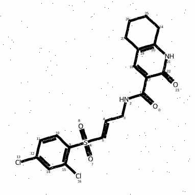 O=C(NC/C=C/S(=O)(=O)c1ccc(Cl)cc1Cl)c1cc2c([nH]c1=O)CCCC2